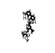 CCOC(=O)C(NCc1cnc(C(=O)Nc2cccc(-c3cccc(NC)c3C)c2C)cc1C1CC1)C(C)C